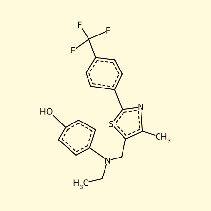 CCN(Cc1sc(-c2ccc(C(F)(F)F)cc2)nc1C)c1ccc(O)cc1